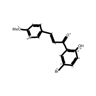 COc1ccc(/C=C/C(=O)c2cc(Br)ccc2O)cn1